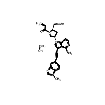 C=CC(=O)N1C[C@@H](n2cc(C#Cc3ccc4c(c3)ncn4C)c3c(N)nccc32)C[C@@H]1COC.O=CO